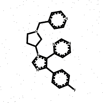 Fc1ccc(-c2ncn(C3CCN(Cc4ccncc4)C3)c2-c2ccncn2)cc1